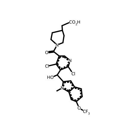 Cn1c(C(O)c2c(Cl)ncc(C(=O)N3CCC(CC(=O)O)CC3)c2Cl)cc2ccc(OC(F)(F)F)cc21